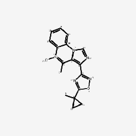 Cc1c2c(-c3noc(C4(C)CC4)n3)ncn2c2ccccc2[n+]1[O-]